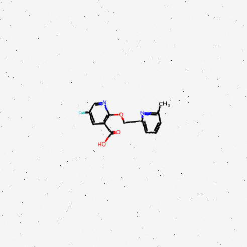 Cc1cccc(COc2ncc(F)cc2C(=O)O)n1